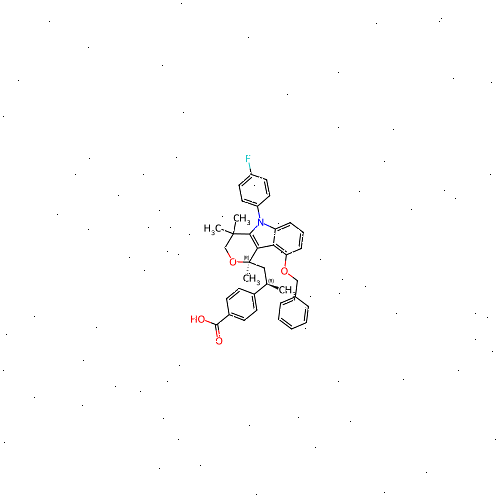 C[C@H](C[C@@]1(C)OCC(C)(C)c2c1c1c(OCc3ccccc3)cccc1n2-c1ccc(F)cc1)c1ccc(C(=O)O)cc1